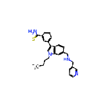 NC(=S)c1cccc(-c2cn(CCCC(F)(F)F)c3cc(CNCc4cccnc4)ccc23)c1